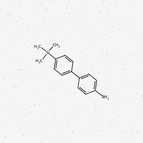 Bc1ccc(-c2ccc([Si](C)(C)C)cc2)cc1